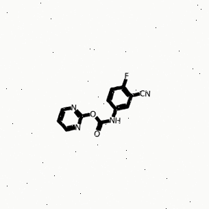 N#Cc1cc(NC(=O)Oc2ncccn2)ccc1F